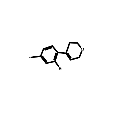 Fc1ccc(C2=CCOCC2)c(Br)c1